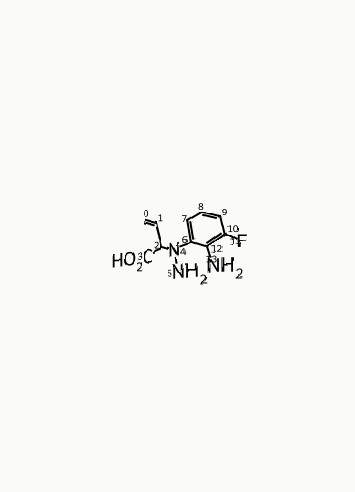 C=CC(C(=O)O)N(N)c1cccc(F)c1N